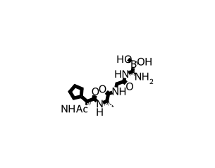 CC(=O)N[C@H](C(=O)N[C@@H](C)C(=O)NCC(=O)N[C@@H](N)B(O)O)C1CCCC1